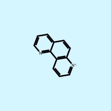 C1=Cc2c(ccc3cccnc23)[N+]=C1